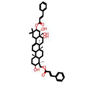 CC1(C)CC2C3=CCC4[C@@]5(C)CC[C@H](O)[C@](C)(COC(=O)/C=C/c6ccccc6)C5CC[C@@]4(C)[C@]3(C)C[C@@H](O)[C@@]2(CO)[C@@H](O)[C@@H]1OC(=O)/C=C/c1ccccc1